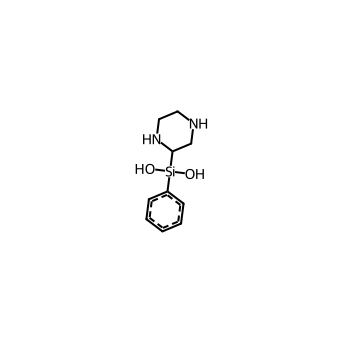 O[Si](O)(c1ccccc1)C1CNCCN1